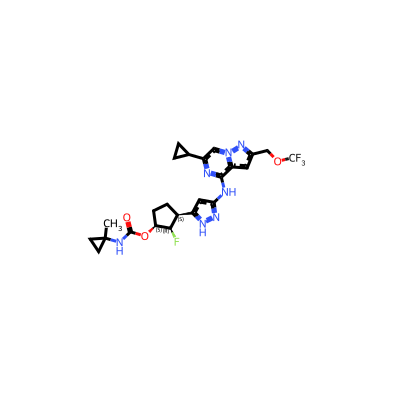 CC1(NC(=O)O[C@H]2CC[C@@H](c3cc(Nc4nc(C5CC5)cn5nc(COC(F)(F)F)cc45)n[nH]3)[C@H]2F)CC1